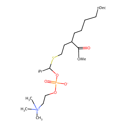 CCCCCCCCCCCCCCC(CCSC(OP(=O)([O-])OCC[N+](C)(C)C)C(C)C)C(=O)OC